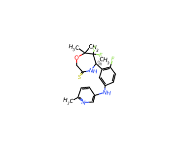 Cc1ccc(Nc2ccc(F)c([C@@]3(C)NC(=S)COC(C)(C)C3(F)F)c2)cn1